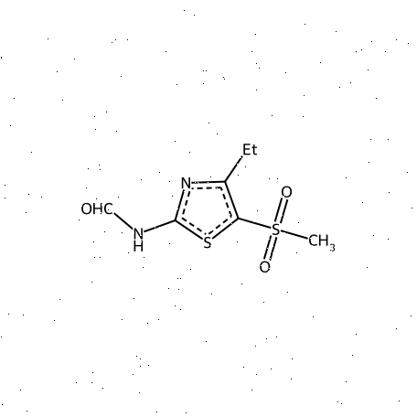 CCc1nc(NC=O)sc1S(C)(=O)=O